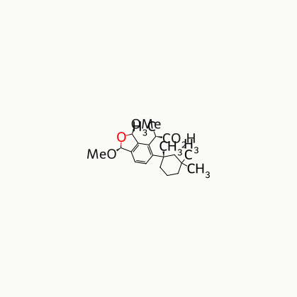 CO[C@H]1O[C@@H](OC)c2c1ccc([C@@]1(C)CCCC(C)(C)C1)c2[C@@H](C)C(=O)O